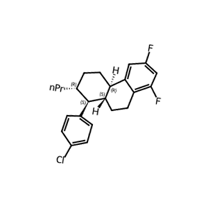 CCC[C@@H]1CC[C@H]2c3cc(F)cc(F)c3CC[C@@H]2[C@H]1c1ccc(Cl)cc1